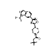 CC(C)(C)CC(=O)N1CCC(c2nc(-c3ccc4cnn(C(F)F)c4c3)no2)CC1